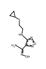 N/C(=N/O)c1nonc1NCCSC1CC1